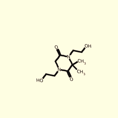 CC1(C)C(=O)N(CCO)CC(=O)N1CCO